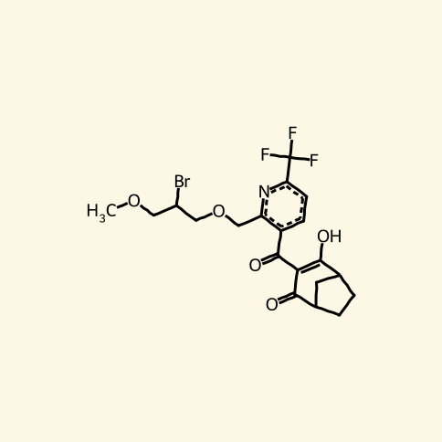 COCC(Br)COCc1nc(C(F)(F)F)ccc1C(=O)C1=C(O)C2CCC(C2)C1=O